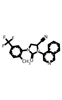 Cc1ccc(C(F)(F)F)cc1N1CC(C#N)N(c2cncc3ccccc23)C1=O